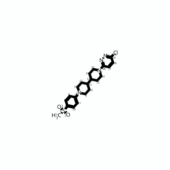 CS(=O)(=O)c1ccc(N2CCC(C3CCN(c4ccc(Cl)nn4)CC3)CC2)cc1